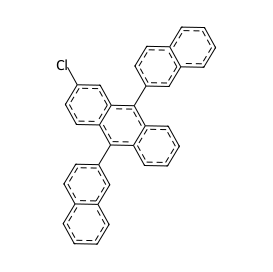 Clc1ccc2c(-c3ccc4ccccc4c3)c3ccccc3c(-c3ccc4ccccc4c3)c2c1